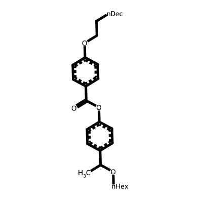 CCCCCCCCCCCCOc1ccc(C(=O)Oc2ccc(C(C)OCCCCCC)cc2)cc1